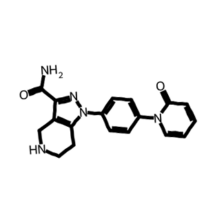 NC(=O)c1nn(-c2ccc(-n3ccccc3=O)cc2)c2c1CNCC2